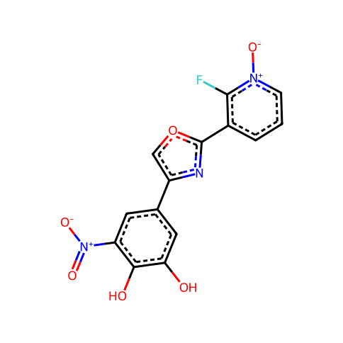 O=[N+]([O-])c1cc(-c2coc(-c3ccc[n+]([O-])c3F)n2)cc(O)c1O